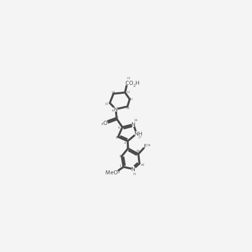 COc1cc(-c2cc(C(=O)N3CCC(C(=O)O)CC3)n[nH]2)c(F)cn1